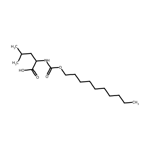 CCCCCCCCCCOC(=O)NC(CC(C)C)C(=O)O